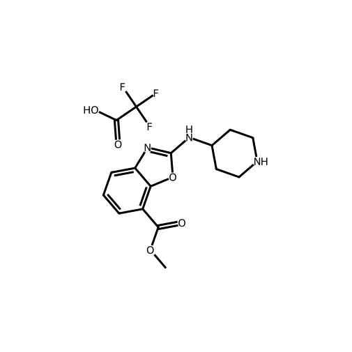 COC(=O)c1cccc2nc(NC3CCNCC3)oc12.O=C(O)C(F)(F)F